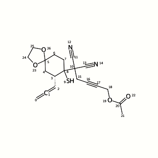 C=C=C[C@@H]1CC2(CCC1(S)C(C#N)(C#N)CC#CCOC(C)=O)OCCO2